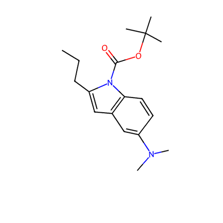 CCCc1cc2cc(N(C)C)ccc2n1C(=O)OC(C)(C)C